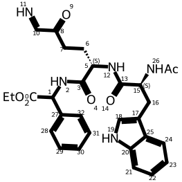 CCOC(=O)C(NC(=O)[C@H](CCC(=O)C=N)NC(=O)[C@H](Cc1c[nH]c2ccccc12)NC(C)=O)c1ccccc1